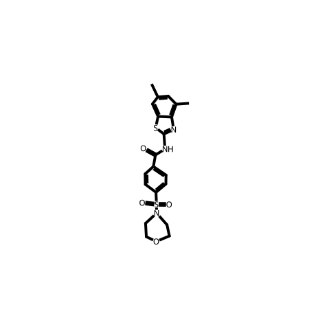 Cc1cc(C)c2nc(NC(=O)c3ccc(S(=O)(=O)N4CCOCC4)cc3)sc2c1